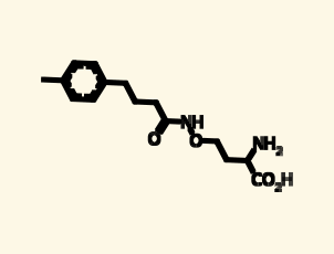 Cc1ccc(CCCC(=O)NOCCC(N)C(=O)O)cc1